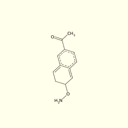 CC(=O)c1ccc2c(c1)=CCC(ON)C=2